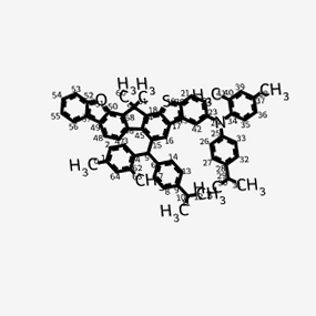 Cc1ccc(C(c2ccc(C(C)C)cc2)c2cc3c(sc4ccc(N(c5ccc(C(C)C)cc5)c5ccc(C)cc5C)cc43)c3c2-c2ccc4c(oc5ccccc54)c2C3(C)C)c(C)c1